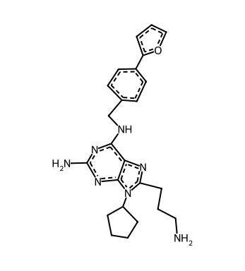 NCCCc1nc2c(NCc3ccc(-c4ccco4)cc3)nc(N)nc2n1C1CCCC1